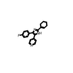 Fc1ccc(-c2nc(C3=CCCCC3)[nH]c2-c2ccncc2)cc1